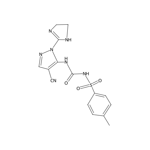 Cc1ccc(S(=O)(=O)NC(=O)Nc2c(C#N)cnn2C2=NCCN2)cc1